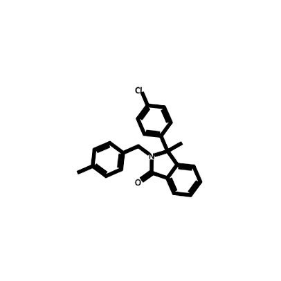 Cc1ccc(CN2C(=O)c3ccccc3C2(C)c2ccc(Cl)cc2)cc1